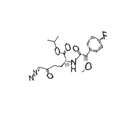 CO[C@H](C(=O)N[C@@H](CCC(=O)C=[N+]=[N-])C(=O)OC(C)C)c1ccc(F)cc1